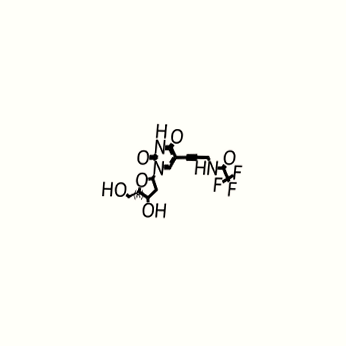 O=C(NCC#Cc1cn(C2CC(O)[C@@H](CO)O2)c(=O)[nH]c1=O)C(F)(F)F